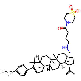 C=C(C)[C@@H]1CC[C@]2(CNCCCC(=O)N3CCS(=O)(=O)CC3)CC[C@]3(C)[C@H](CC[C@@H]4[C@@]5(C)CC=C(c6ccc(C(=O)O)cc6)C(C)(C)[C@@H]5CC[C@]43C)[C@@H]12